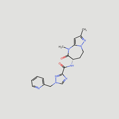 Cc1cc2n(n1)CC[C@H](NC(=O)c1ncn(Cc3ccccn3)n1)C(=O)N2C